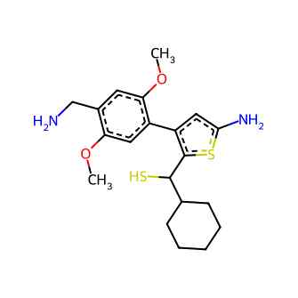 COc1cc(-c2cc(N)sc2C(S)C2CCCCC2)c(OC)cc1CN